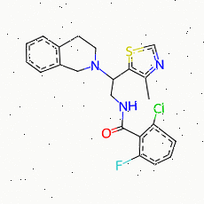 Cc1ncsc1C(CNC(=O)c1c(F)cccc1Cl)N1CCc2ccccc2C1